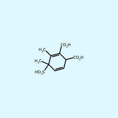 CC1=C(C(=O)O)C(C(=O)O)C=CC1(C)S(=O)(=O)O